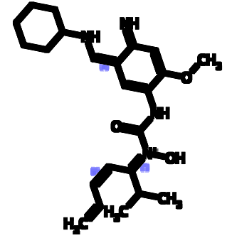 C=C/C=C\C(C(C)C)=[N+](\O)C(=O)NC1=C/C(=C/NC2CCCCC2)C(=N)C=C1OC